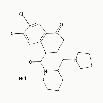 Cl.O=C1CCC(C(=O)N2CCCCC2CN2CCCC2)c2cc(Cl)c(Cl)cc21